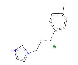 Cc1ccc(CCC[n+]2cc[nH]c2)cc1.[Br-]